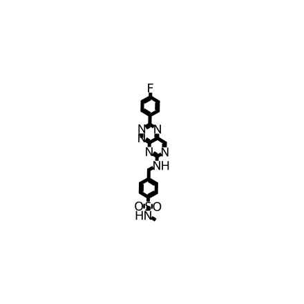 CNS(=O)(=O)c1ccc(CNc2ncc3nc(-c4ccc(F)cc4)nnc3n2)cc1